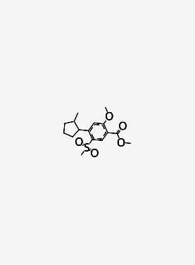 COC(=O)c1cc(S(C)(=O)=O)c(C2CCCC2C)cc1OC